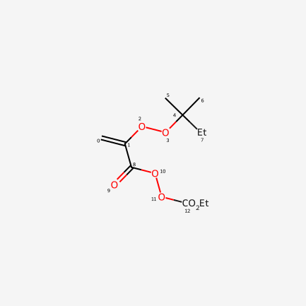 C=C(OOC(C)(C)CC)C(=O)OOC(=O)OCC